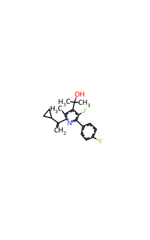 C=C(c1nc(-c2ccc(F)cc2)c(F)c(C(C)(C)O)c1C)C1CC1